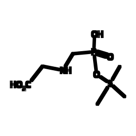 CS(C)(C)OP(=O)(O)CNCC(=O)O